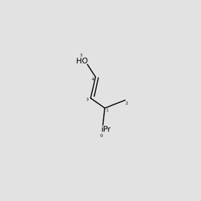 CC(C)C(C)/C=C/O